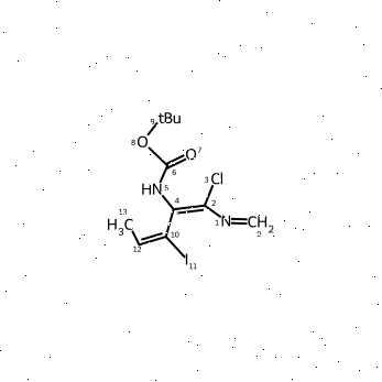 C=N/C(Cl)=C(NC(=O)OC(C)(C)C)\C(I)=C/C